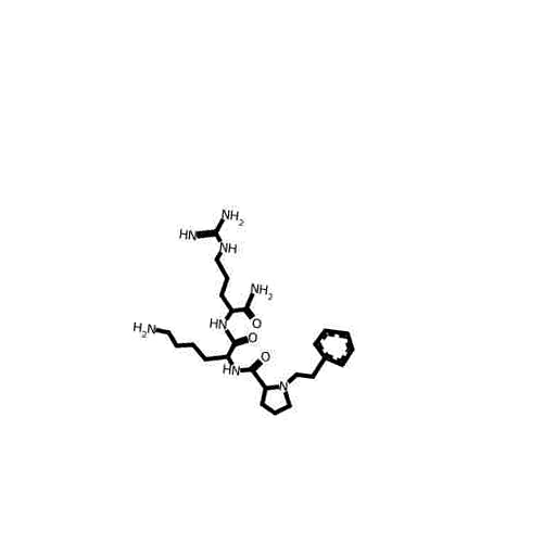 N=C(N)NCCCC(NC(=O)C(CCCCN)NC(=O)C1CCCN1CCc1ccccc1)C(N)=O